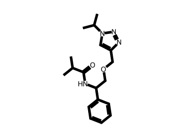 CC(C)C(=O)NC(COCc1cn(C(C)C)nn1)c1ccccc1